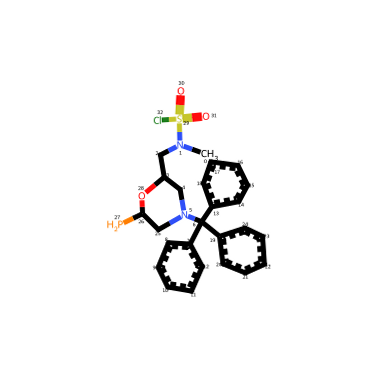 CN(CC1CN(C(c2ccccc2)(c2ccccc2)c2ccccc2)CC(P)O1)S(=O)(=O)Cl